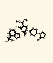 O=c1c(C(O)O)cn([C@H]2CC[C@@H](N3CCOC3O)CC2)c(=O)n1[C@@H]1CCc2c1cccc2C(F)(F)F